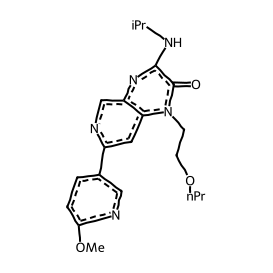 CCCOCCn1c(=O)c(NC(C)C)nc2cnc(-c3ccc(OC)nc3)cc21